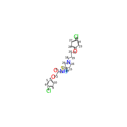 O=C(COc1ccc(Cl)cc1)NSC1(F)CCN(CCCOc2ccc(Cl)cc2)C1